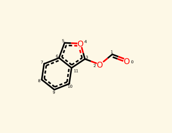 O=COc1occ2ccccc12